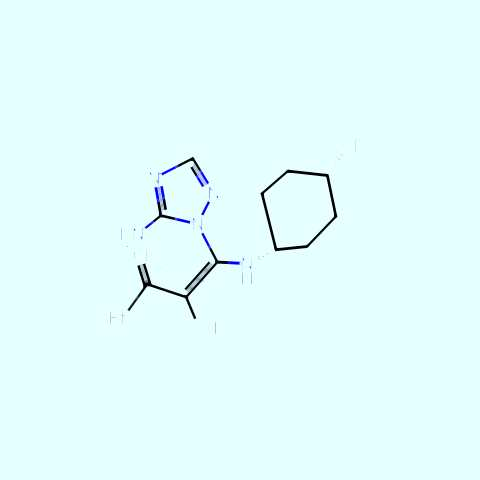 C=C(CC)/C(C)=C(/N[C@H]1CC[C@@H](C(F)(F)F)CC1)n1ncnc1N